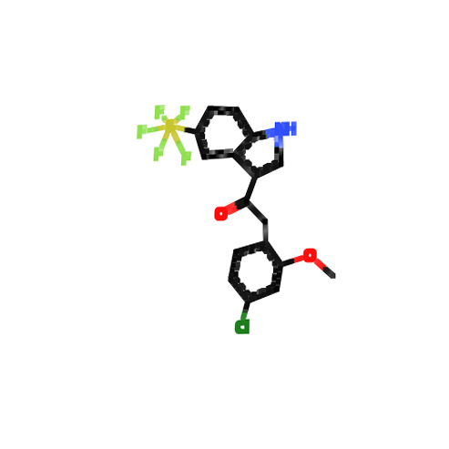 COc1cc(Cl)ccc1CC(=O)c1c[nH]c2ccc(S(F)(F)(F)(F)F)cc12